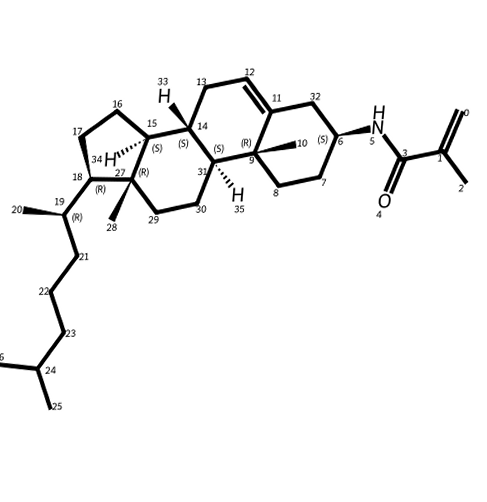 C=C(C)C(=O)N[C@H]1CC[C@@]2(C)C(=CC[C@H]3[C@@H]4CC[C@H]([C@H](C)CCCC(C)C)[C@@]4(C)CC[C@@H]32)C1